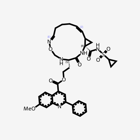 COc1ccc2c(C(=O)OCC[C@@H]3NCO/N=C/CCC/C=C\C4C[C@@]4(C(=O)NS(=O)(=O)C4CC4)NC3=O)cc(-c3ccccc3)nc2c1